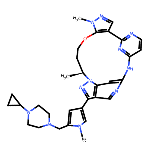 CCn1cc(-c2nn3c4cc(ncc24)Nc2ccnc(n2)-c2cnn(C)c2OCC[C@@H]3C)cc1CN1CCN(C2CC2)CC1